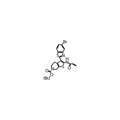 C=CC(=O)Nc1sc2c(c1-c1nc3cc(Br)ccc3s1)CCN(C(=O)OC(C)(C)C)C2